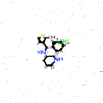 Cc1sccc1CN[C@H]1CCCN[C@H]1c1ccccc1.Cl.Cl